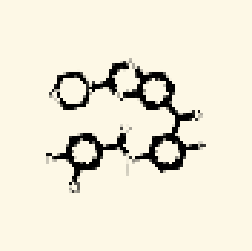 O=C(Nc1ccc(F)c(C(=O)c2ccc3ncc(N4CCOCC4)nc3c2)c1)c1ccc(F)c(Cl)c1